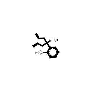 C=CCC(CC=C)(C(=O)O)c1ccccc1C(=O)O